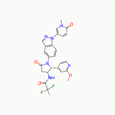 COc1cc(C2C(NC(=O)C(C)(F)F)CC(=O)N2c2ccc3c(cnn3-c3ccc(=O)n(C)c3)c2)ccn1